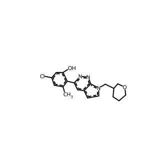 Cc1cc(Cl)cc(O)c1-c1cc2ccn(CC3CCCOC3)c2nn1